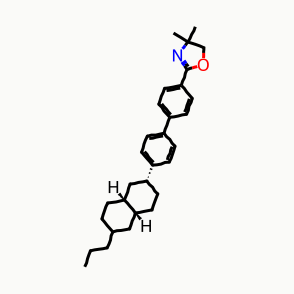 CCCC1CC[C@@H]2C[C@H](c3ccc(-c4ccc(C5=NC(C)(C)CO5)cc4)cc3)CC[C@@H]2C1